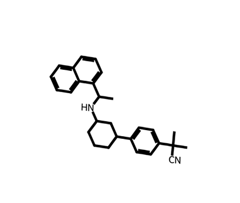 CC(NC1CCCC(c2ccc(C(C)(C)C#N)cc2)C1)c1cccc2ccccc12